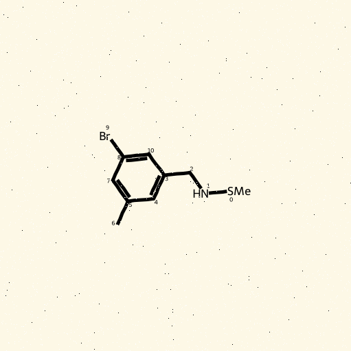 CSNCc1cc(C)cc(Br)c1